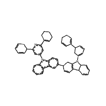 C1=CCC(c2cc(-n3c4ccccc4c4cc(C5C=CC6=C(C5)N(C5=CC=CC(C7=CCCC=C7)C5)C5C=CC=CC65)ccc43)cc(C3=CCCCC3)n2)C=C1